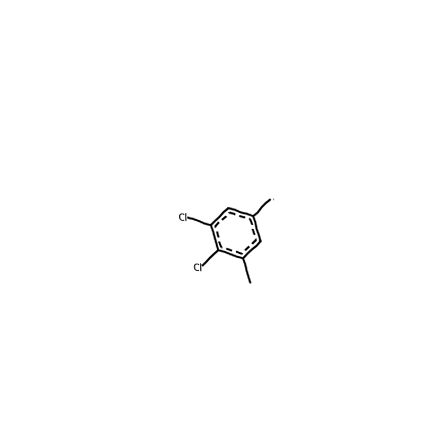 [CH2]c1cc(C)c(Cl)c(Cl)c1